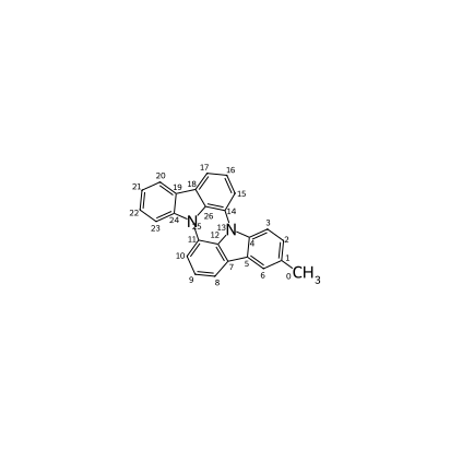 Cc1ccc2c(c1)c1cccc3c1n2c1cccc2c4ccccc4n3c21